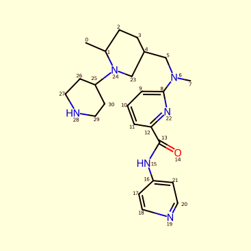 CC1CCC(CN(C)c2cccc(C(=O)Nc3ccncc3)n2)CN1C1CCNCC1